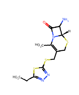 NC1C(=O)N2C(C(=O)O)=C(CSc3nnc(CC(=O)O)s3)CS[C@@H]12